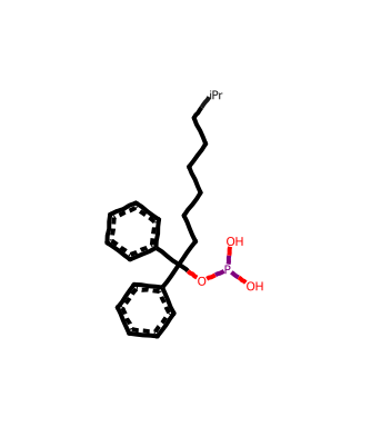 CC(C)CCCCCCC(OP(O)O)(c1ccccc1)c1ccccc1